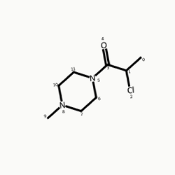 CC(Cl)C(=O)N1CCN(C)CC1